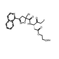 COCCOC(=O)C[C@H](NC(=O)C1(C(C)C)CC(c2nccc3ccccc23)=NO1)C(=O)CF